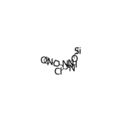 C[Si](C)(C)CCOCn1c(I)nc2c1=NC(c1ccc(N3CCOCC3)cc1)C(Cl)C=2